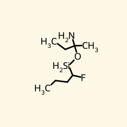 CCCC(F)[SiH2]OC(C)(N)CC